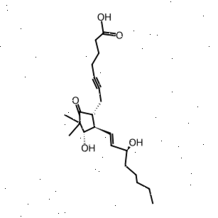 CCCCC[C@H](O)C=C[C@@H]1[C@@H](CC#CCCCC(=O)O)C(=O)C(C)(C)[C@H]1O